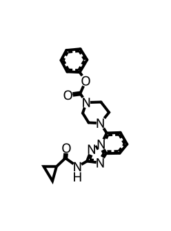 O=C(Nc1nc2cccc(N3CCN(C(=O)Oc4ccccc4)CC3)n2n1)C1CC1